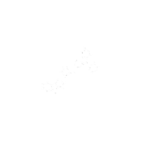 c1ccc(-n2c3ccccc3c3cc4c(cc32)Oc2cc(-c3ccc5oc6ccccc6c5c3)ccc2O4)cc1